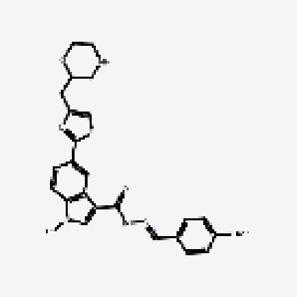 CCn1cc(C(=O)N/N=C/c2ccc(OC)cc2)c2cc(-c3nc(CC4CNCCO4)cs3)ccc21